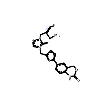 NC/C(=C\F)Cn1ncn(Cc2ccc(-c3ccc4c(c3)COC(=O)N4)s2)c1=O